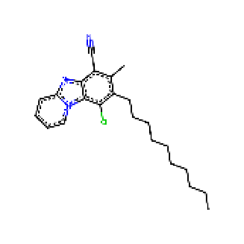 CCCCCCCCCCc1c(C)c(C#N)c2nc3ccccn3c2c1Cl